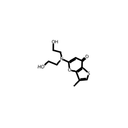 Cc1csc2c(=O)cc(N(CCO)CCO)oc12